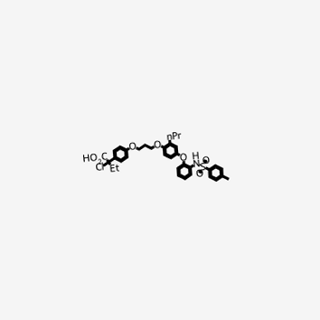 CCCc1cc(Oc2ccccc2NS(=O)(=O)c2ccc(C)cc2)ccc1OCCCOc1ccc(C(Cl)(CC)C(=O)O)cc1